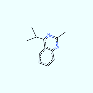 Cc1nc(C(C)C)c2ccccc2n1